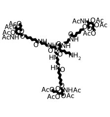 CC(=O)NC1C(OCCCCCC(=O)NCCCNC(=O)CN(CC(=O)NCCCNC(=O)CCCCCOC2OC(COC(C)=O)C(OC(C)=O)C(OC(C)=O)C2NC(C)=O)C(CCCCN)C(=O)NCCCNC(=O)CCCCCOC2OC(COC(C)=O)C(OC(C)=O)C(OC(C)=O)C2NC(C)=O)OC(COC(C)=O)C(OC(C)=O)C1OC(C)=O